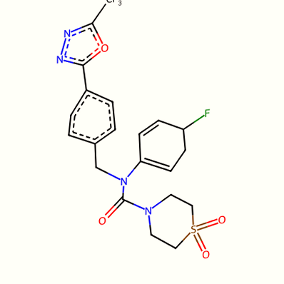 O=C(N1CCS(=O)(=O)CC1)N(Cc1ccc(-c2nnc(C(F)(F)F)o2)cc1)C1=CCC(F)C=C1